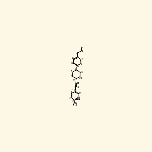 CCCc1ccc(C2CCC(C#Cc3ccc(Cl)nc3)CC2)cc1